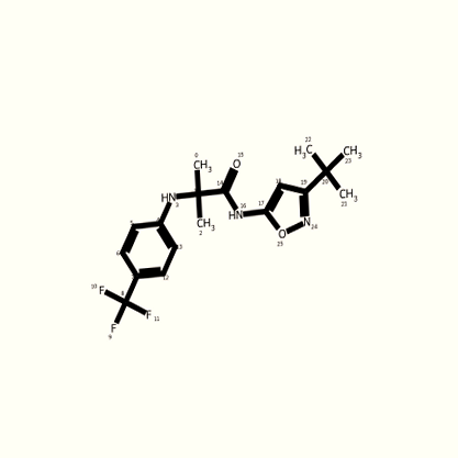 CC(C)(Nc1ccc(C(F)(F)F)cc1)C(=O)Nc1cc(C(C)(C)C)no1